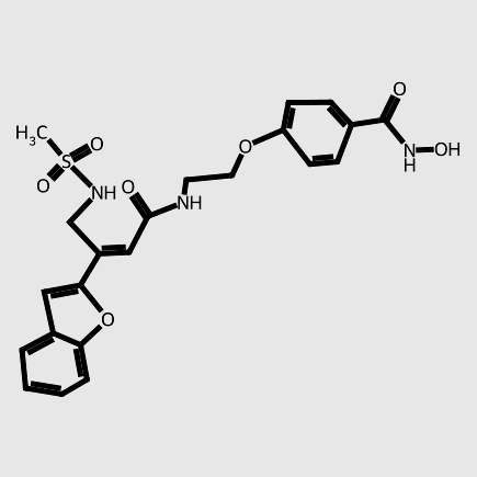 CS(=O)(=O)NC/C(=C\C(=O)NCCOc1ccc(C(=O)NO)cc1)c1cc2ccccc2o1